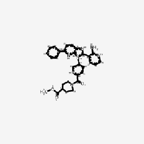 COC(=O)C1CCN(C(=O)c2ccc(-n3c(-c4cccnc4N)nc4ccc(-c5ccccc5)nc43)cn2)CC1